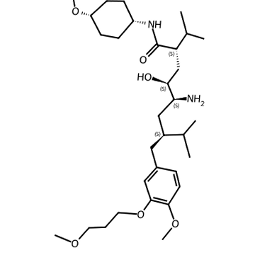 COCCCOc1cc(C[C@@H](C[C@H](N)[C@@H](O)C[C@H](C(=O)N[C@H]2CC[C@@H](OC)CC2)C(C)C)C(C)C)ccc1OC